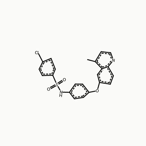 Cc1ccnc2ccc(Oc3ccc(NS(=O)(=O)c4ccc(Cl)cc4)cc3)cc12